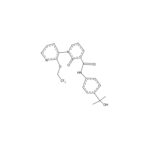 CC(C)(O)c1ccc(NC(=O)c2cccn(-c3cccnc3OCC(F)(F)F)c2=O)cc1